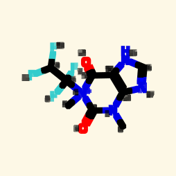 CN1C(=O)[N+](C)(C(F)(F)C(F)F)C(=O)c2[nH]cnc21